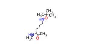 CNC(CCCCNOC(C)(C)C)C(C)=O